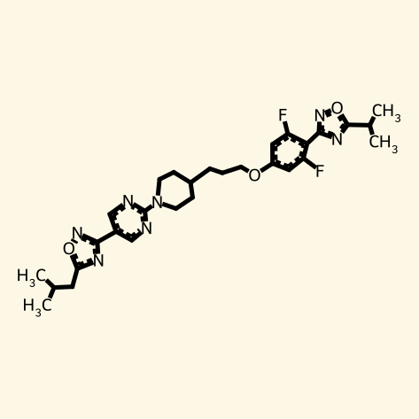 CC(C)Cc1nc(-c2cnc(N3CCC(CCCOc4cc(F)c(-c5noc(C(C)C)n5)c(F)c4)CC3)nc2)no1